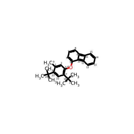 Cc1cc(Oc2cccc3c2=c2ccccc2=3)c(C(C)(C)C)cc1C(C)(C)C